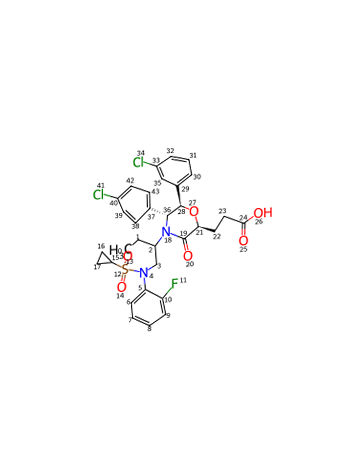 CCC(CN(c1ccccc1F)S(=O)(=O)C1CC1)N1C(=O)[C@H](CCC(=O)O)O[C@H](c2cccc(Cl)c2)[C@H]1c1ccc(Cl)cc1